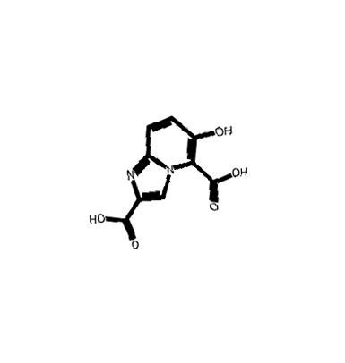 O=C(O)c1cn2c(C(=O)O)c(O)ccc2n1